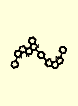 c1ccc(-c2ccc3ccc4ccc(-c5ccc(-c6nc7ccccc7c7c6cnc6c7ccc7ccc(-c8ccccc8)nc76)cc5)nc4c3n2)cc1